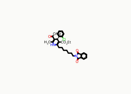 CCOC(=O)C1=C(CCCCCCCN2C(=O)c3ccccc3C2=O)NC(C)=C(C(=O)OC)[C@H]1c1ccccc1Cl